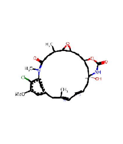 COc1cc2cc(c1Cl)N(C)C(=O)CC(C)C1OC1CC1C[C@](O)(C/C=C/C=C(\C)C2)NC(=O)O1